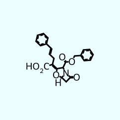 O=C(O)C(CC=Cc1ccccc1)=C1O[C@@H]2CC(=O)N2C1C(=O)OCc1ccccc1